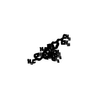 CC1=Cc2cc(CC(C)C)ccc2[CH]1[Zr]([CH3])([CH3])([CH]1C(C)=Cc2cc(CC(C)C)ccc21)[SiH](C)C